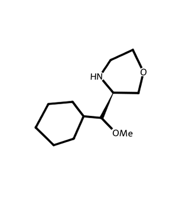 COC(C1CCCCC1)[C@@H]1COCCN1